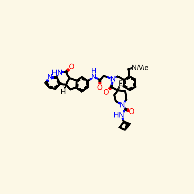 CCC1(C(=O)N(CC(=O)Nc2ccc3c(c2)C2C(=O)Nc4ncccc4[C@H]2C3)Cc2ccccc2CNC)CCN(C(=O)NC23CC(C2)C3)CC1